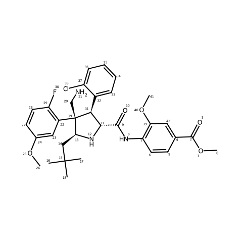 COC(=O)c1ccc(NC(=O)[C@@H]2N[C@@H](CC(C)(C)C)[C@](CN)(c3cc(OC)ccc3F)[C@H]2c2ccccc2Cl)c(OC)c1